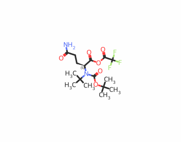 CC(C)(C)OC(=O)N([C@@H](CCC(N)=O)C(=O)OC(=O)C(F)(F)F)C(C)(C)C